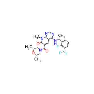 C[C@@H]1CN(C(=O)c2cc3c(N[C@H](C)c4cccc(C(F)F)c4F)ncnc3n(C)c2=O)C[C@@H](C)O1